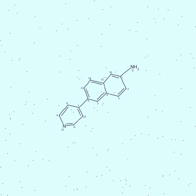 Nc1ccc2cc(-c3ccncc3)ccc2c1